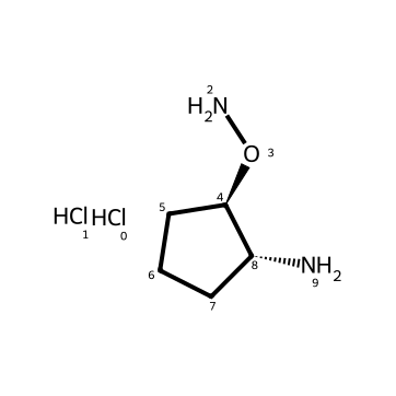 Cl.Cl.NO[C@@H]1CCC[C@H]1N